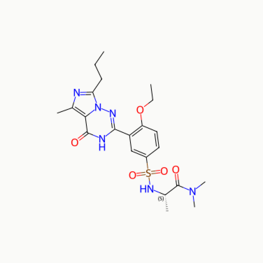 CCCc1nc(C)c2c(=O)[nH]c(-c3cc(S(=O)(=O)N[C@@H](C)C(=O)N(C)C)ccc3OCC)nn12